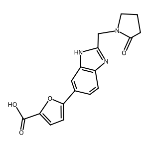 O=C(O)c1ccc(-c2ccc3nc(CN4CCCC4=O)[nH]c3c2)o1